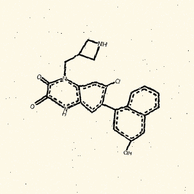 O=c1[nH]c2cc(-c3cc(O)cc4ccccc34)c(Cl)cc2n(CC2CNC2)c1=O